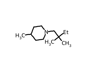 CCC(C)(C)CN1CCC(C)CC1